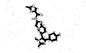 Cc1nc(C(=O)Nc2cn3nc(-c4c(-c5ccc(F)cc5)nc(C)n4C)ccc3n2)co1